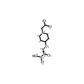 CCC(CC)CN1CCC(O/N=[N+](\[O-])N(CC)C(C)(C)C)CC1